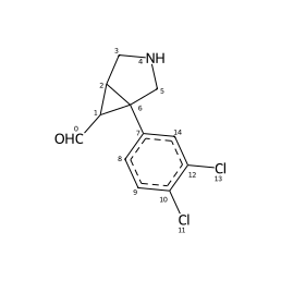 O=CC1C2CNCC12c1ccc(Cl)c(Cl)c1